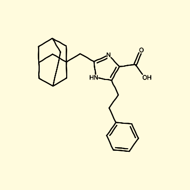 O=C(O)c1nc(CC23CC4CC(CC(C4)C2)C3)[nH]c1CCc1ccccc1